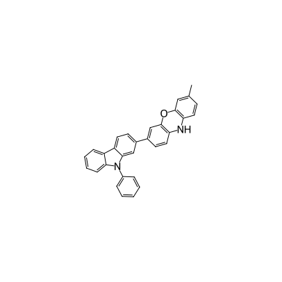 Cc1ccc2c(c1)Oc1cc(-c3ccc4c5ccccc5n(-c5ccccc5)c4c3)ccc1N2